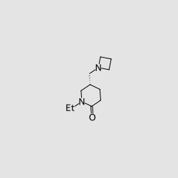 CCN1C[C@H](CN2CCC2)CCC1=O